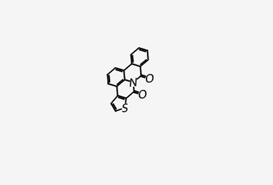 O=c1c2ccccc2c2cccc3c4ccsc4c(=O)n1c23